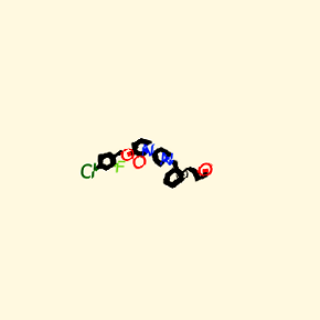 O=c1c(OCc2ccc(Cl)cc2F)cccn1C1=CCN(CC2C=CC=C[C@@H]2CC2CCO2)CC1